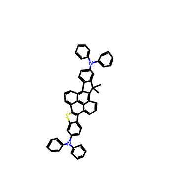 CC1(C)c2cc(N(c3ccccc3)c3ccccc3)ccc2-c2c1c1cccc3c4c5ccc(N(c6ccccc6)c6ccccc6)cc5sc4c4cccc2c4c13